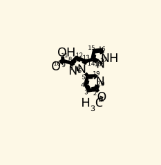 COc1ccc(-n2nc(C(=O)O)cc2-c2cc[nH]n2)cn1